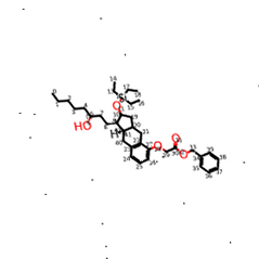 CCCCC[C@H](O)CC[C@H]1C(O[Si](CC)(CC)CC)CC2Cc3c(cccc3OCC(=O)OCc3ccccc3)C[C@@H]21